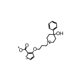 COC(=O)c1sccc1OCCCN1CCC(O)(c2ccccc2)CC1